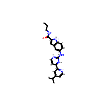 CCCNC(=O)c1cc2cc(Nc3nccc(-c4cc(C(C)C)ccn4)n3)ccc2[nH]1